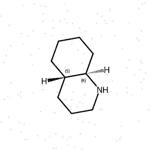 C1CC[C@H]2NCCC[C@@H]2C1